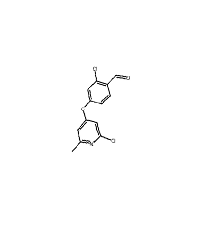 Cc1cc(Oc2ccc(C=O)c(Cl)c2)cc(Cl)n1